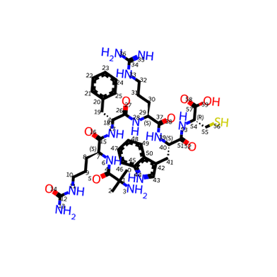 CC(C)(N)C(=O)N[C@@H](CCCNC(N)=O)C(=O)N[C@H](Cc1ccccc1)C(=O)N[C@@H](CCCNC(=N)N)C(=O)N[C@@H](Cc1c[nH]c2ccccc12)C(=O)N[C@@H](CS)C(=O)O